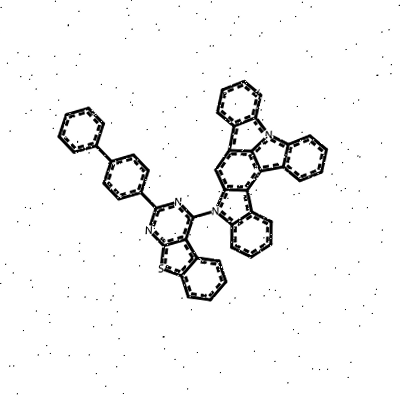 c1ccc(-c2ccc(-c3nc(-n4c5ccccc5c5c6c7ccccc7n7c8ccccc8c(cc54)c67)c4c(n3)sc3ccccc34)cc2)cc1